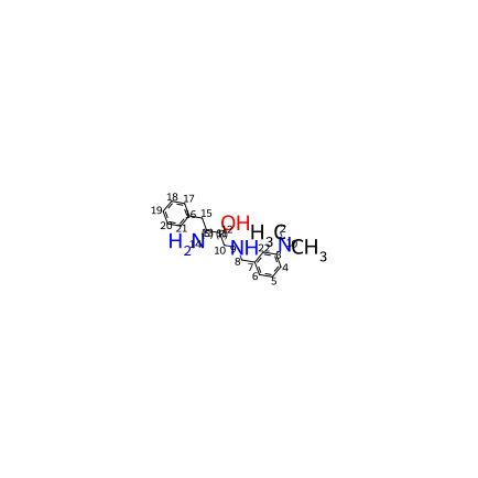 CN(C)c1cccc(CNC[C@@H](O)[C@@H](N)Cc2ccccc2)c1